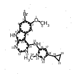 COc1cc2c(cc1Br)[nH]c1ncnc(Nc3cc(C4CC4)nn3C)c12